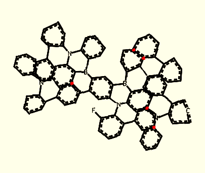 Fc1cccc(-c2ccccc2)c1N1c2cc3c(cc2B2c4ccccc4N(c4ccccc4-c4ccccc4)c4cc(N(c5ccccc5)c5ccccc5-c5ccccc5)cc1c42)B1c2ccccc2N(c2ccccc2-c2ccccc2)c2cc(N(c4ccccc4)c4ccccc4-c4ccccc4)cc(c21)S3